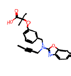 CC#CCN(Cc1cccc(OC(C)(C)C(=O)O)c1)c1nc2ccccc2o1